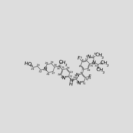 Cc1nc2c(F)cc(-c3nc(Nc4ccc([C@@H](C)C5CCN(CCCO)CC5)cn4)ncc3F)cc2n1C(C)C